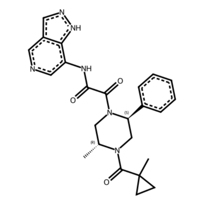 C[C@@H]1CN(C(=O)C(=O)Nc2cncc3cn[nH]c23)[C@@H](c2ccccc2)CN1C(=O)C1(C)CC1